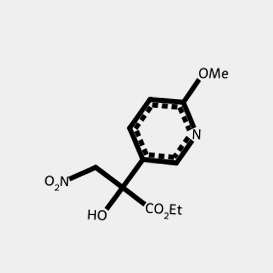 CCOC(=O)C(O)(C[N+](=O)[O-])c1ccc(OC)nc1